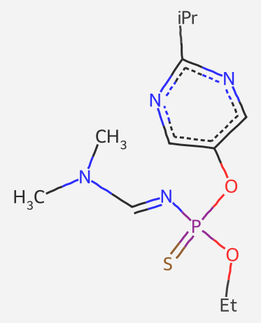 CCOP(=S)(N=CN(C)C)Oc1cnc(C(C)C)nc1